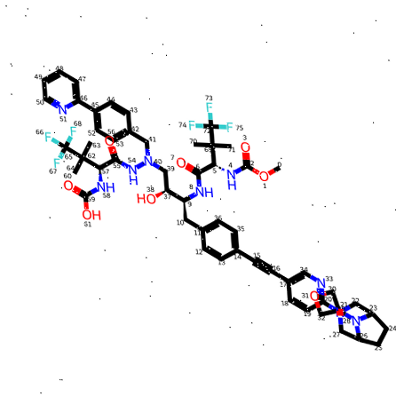 COC(=O)N[C@H](C(=O)N[C@@H](Cc1ccc(C#Cc2ccc(N3CC4CCC(C3)N4C3COC3)nc2)cc1)[C@@H](O)CN(Cc1ccc(-c2ccccn2)cc1)NC(=O)[C@@H](NC(=O)O)C(C)(C)C(F)(F)F)C(C)(C)C(F)(F)F